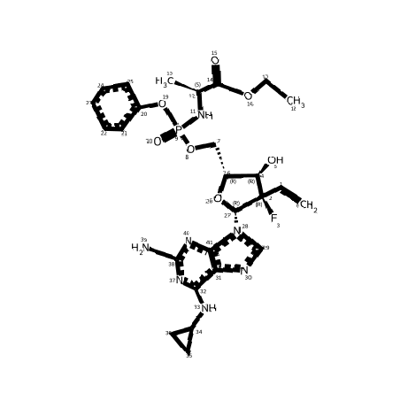 C=C[C@@]1(F)[C@H](O)[C@@H](COP(=O)(N[C@@H](C)C(=O)OCC)Oc2ccccc2)O[C@H]1n1cnc2c(NC3CC3)nc(N)nc21